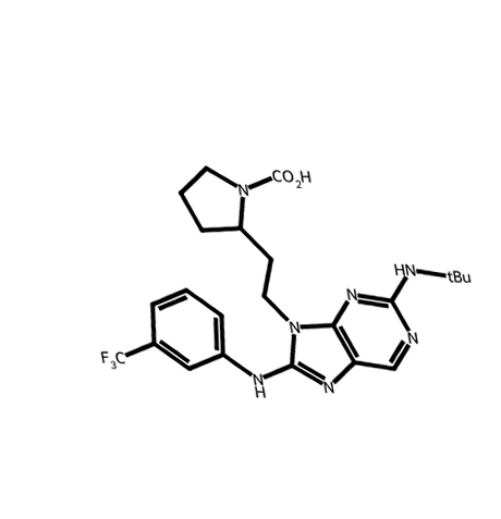 CC(C)(C)Nc1ncc2nc(Nc3cccc(C(F)(F)F)c3)n(CCC3CCCN3C(=O)O)c2n1